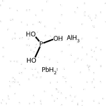 OP(O)O.[AlH3].[PbH2]